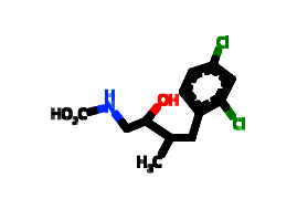 CC(Cc1ccc(Cl)cc1Cl)C(O)CNC(=O)O